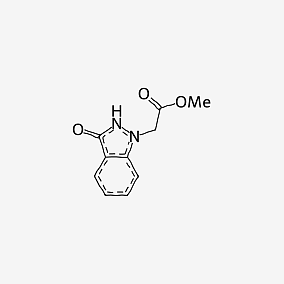 COC(=O)Cn1[nH]c(=O)c2ccccc21